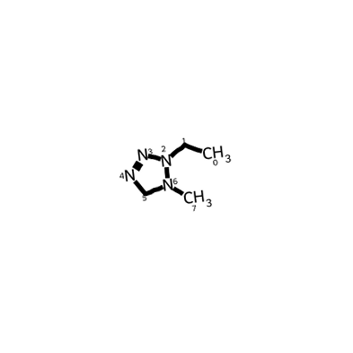 CCN1N=NCN1C